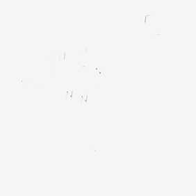 O=C1c2c(O)c(=O)ccn2N(C2c3ccccc3CSc3ccccc32)CN1C1CCC(F)(F)CC1